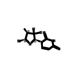 CC[C@H]1O[C@@H](n2ccc(=O)[nH]c2=O)C(Cl)(Cl)[C@H]1C